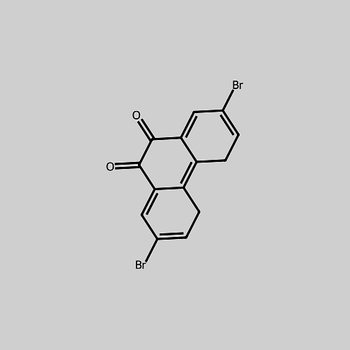 O=C1C(=O)C2=CC(Br)=CCC2=C2CC=C(Br)C=C12